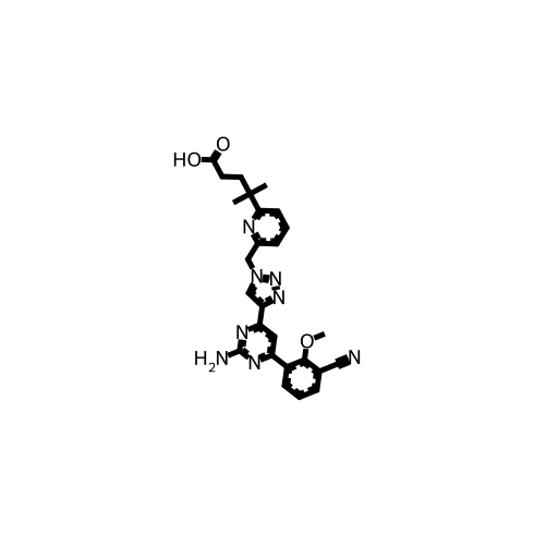 COc1c(C#N)cccc1-c1cc(-c2cn(Cc3cccc(C(C)(C)CCC(=O)O)n3)nn2)nc(N)n1